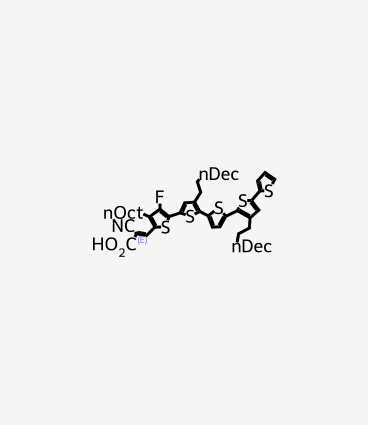 CCCCCCCCCCCCc1cc(-c2cccs2)sc1-c1ccc(-c2sc(-c3sc(/C=C(\C#N)C(=O)O)c(CCCCCCCC)c3F)cc2CCCCCCCCCCCC)s1